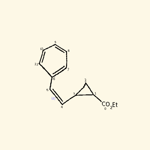 CCOC(=O)C1CC1/C=C\c1ccccc1